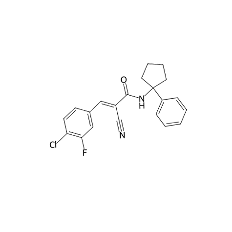 N#C/C(=C\c1ccc(Cl)c(F)c1)C(=O)NC1(c2ccccc2)CCCC1